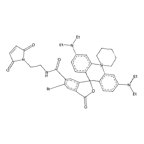 CCN(CC)c1ccc2c(c1)[Si]1(CCCCC1)c1cc(N(CC)CC)ccc1C21OC(=O)c2cc(Br)c(C(=O)NCCN3C(=O)C=CC3=O)cc21